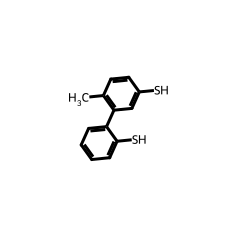 Cc1ccc(S)cc1-c1ccccc1S